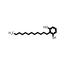 CCCCCCCCCCCCc1c(O)cccc1S